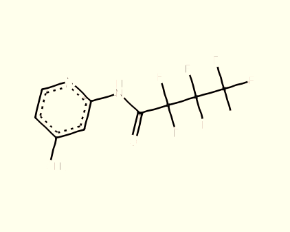 Cc1ccnc(NC(=O)C(F)(F)C(F)(F)C(F)(F)F)c1